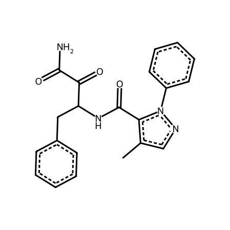 Cc1cnn(-c2ccccc2)c1C(=O)NC(Cc1ccccc1)C(=O)C(N)=O